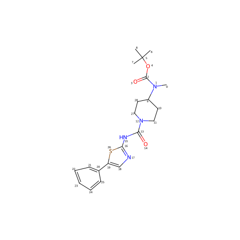 CN(C(=O)OC(C)(C)C)C1CCN(C(=O)Nc2ncc(-c3ccccc3)s2)CC1